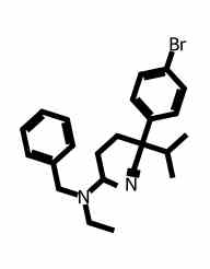 CCN(Cc1ccccc1)C(C)CCC(C#N)(c1ccc(Br)cc1)C(C)C